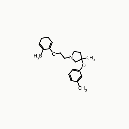 BC1=CCCC=C1OCCN1CCC(C)(Oc2cccc(C)c2)C1